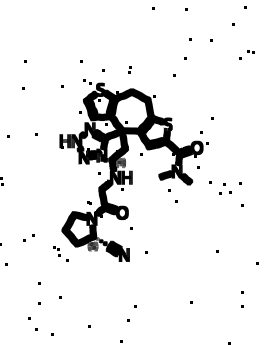 C[C@H](CC1(c2nn[nH]n2)c2ccsc2CCc2sc(C(=O)N(C)C)cc21)NCC(=O)N1CCC[C@H]1C#N